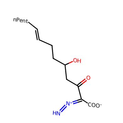 CCCCCC=CCCC(O)CC(=O)C(=[N+]=N)C(=O)[O-]